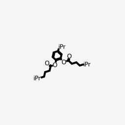 CC(C)CCCC(=O)Oc1ccc(C(C)C)cc1OC(=O)CCCC(C)C